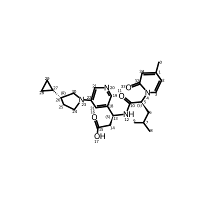 Cc1ccn([C@@H](CC(C)C)C(=O)N[C@@H](CC(=O)O)c2cncc(N3CC[C@H](C4CC4)C3)c2)c(=O)c1